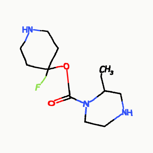 CC1CNCCN1C(=O)OC1(F)CCNCC1